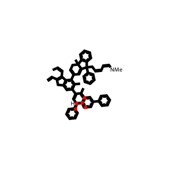 C=CC1=C(/C=C\C)c2c(cc(C(=C/C(C)c3ccc(-c4ccccc4)cc3)/C(C)=C\C(C)Nc3ccccc3)c(C)c2C2=CCC3(C)C(=C2)C(C/C=C\C=C/NC)(c2ccccc2)c2ccccc23)C1